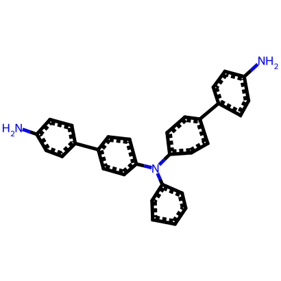 Nc1ccc(-c2ccc(N(c3ccccc3)c3ccc(-c4ccc(N)cc4)cc3)cc2)cc1